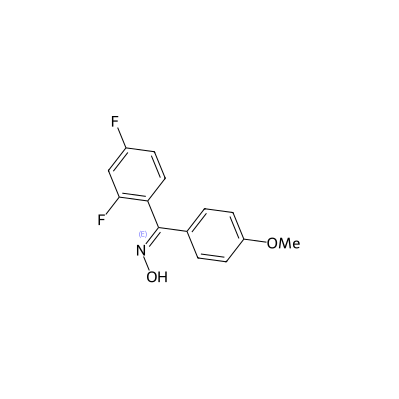 COc1ccc(/C(=N\O)c2ccc(F)cc2F)cc1